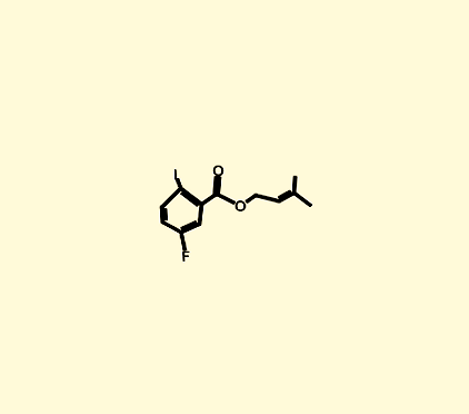 CC(C)=CCOC(=O)c1cc(F)ccc1I